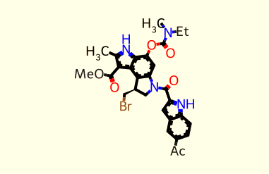 CCN(C)C(=O)Oc1cc2c(c3c(C(=O)OC)c(C)[nH]c13)[C@H](CBr)CN2C(=O)c1cc2cc(C(C)=O)ccc2[nH]1